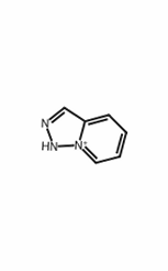 c1cc[n+]2[nH]ncc2c1